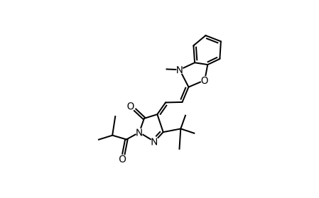 CC(C)C(=O)N1N=C(C(C)(C)C)/C(=C\C=C2\Oc3ccccc3N2C)C1=O